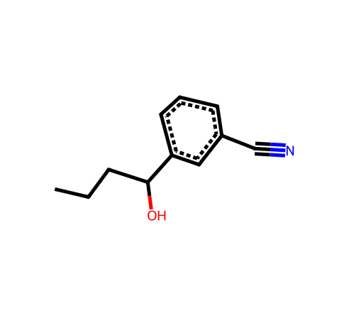 CCCC(O)c1cccc(C#N)c1